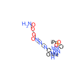 COc1cc(N2CCC(N3CCN(C(=O)COCCOCC(N)=O)CC3)CC2)ccc1Nc1ncnc(Nc2ccccc2S(=O)(=O)C(C)C)n1